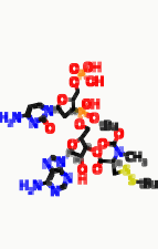 CN(C(=O)OC(C)(C)C)[C@@H](CSSC(C)(C)C)C(=O)O[C@@H]1C(COP(=O)(O)[C@H]2C[C@H](n3ccc(N)nc3=O)OC2COP(=O)(O)O)O[C@@H](n2cnc3c(N)ncnc32)[C@@H]1O